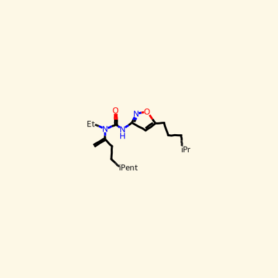 C=C(CCC(C)CCC)N(CC)C(=O)Nc1cc(CCCC(C)C)on1